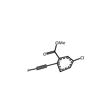 COC(=O)c1cc(Cl)ccc1C#CI